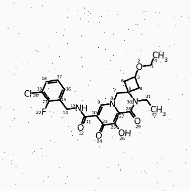 CCOC1CC2(C1)Cn1cc(C(=O)NCc3cccc(Cl)c3F)c(=O)c(O)c1C(=O)N2CC